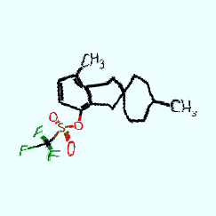 Cc1ccc(OS(=O)(=O)C(F)(F)F)c2c1CC1(CCC(C)CC1)C2